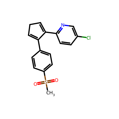 CS(=O)(=O)c1ccc(C2=CCC=C2c2ccc(Cl)cn2)cc1